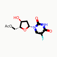 CC(=O)OC[C@H]1O[C@@H](n2cc(F)c(=O)[nH]c2=O)C[C@@H]1O